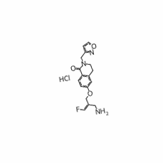 Cl.NC/C(=C/F)COc1ccc2c(c1)CCN(Cc1ccon1)C2=O